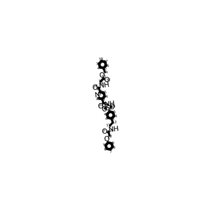 O=C(COc1ccccc1)NCCc1ccc(S(=O)(=O)NC(=O)c2ccc(C(=O)NCC(=O)OCc3ccccc3)nc2)cc1